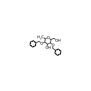 CC1OC(CO)C(OCc2ccccc2)C(O)C1OCc1ccccc1